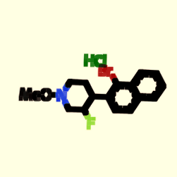 CON1CCC(c2ccc3ccccc3c2Br)C(F)C1.Cl